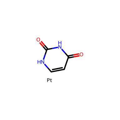 O=c1cc[nH]c(=O)[nH]1.[Pt]